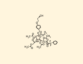 C#CCCOc1ccc(CO[C@]2(C(=O)OC)C[C@H](OC(C)=O)[C@@H](NC(=O)COC(C)=O)[C@H]([C@H](OC(C)=O)[C@@H](CNC(=O)C(F)(F)c3ccccc3)OC(C)=O)O2)cc1